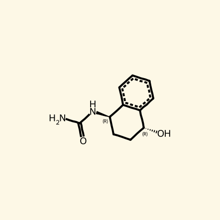 NC(=O)N[C@@H]1CC[C@@H](O)c2ccccc21